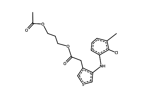 CC(=O)OCCCOC(=O)Cc1cscc1Nc1cccc(C)c1Cl